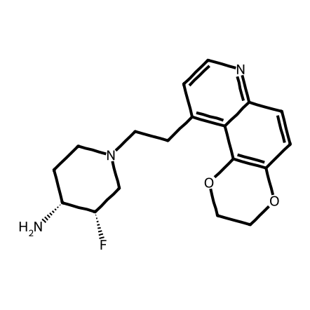 N[C@@H]1CCN(CCc2ccnc3ccc4c(c23)OCCO4)C[C@@H]1F